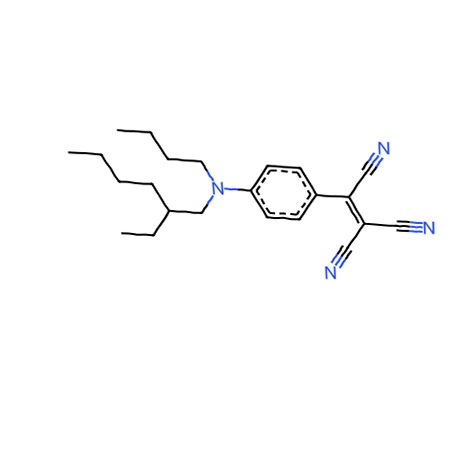 CCCCC(CC)CN(CCCC)c1ccc(C(C#N)=C(C#N)C#N)cc1